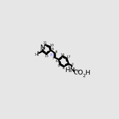 O=C(O)NCc1ccc(/C=C/c2ccnc(I)c2)cc1